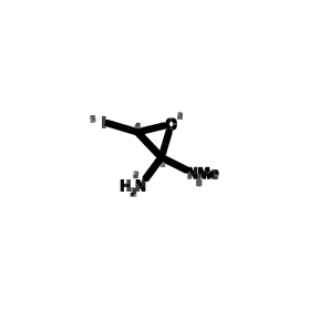 CNC1(N)OC1I